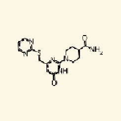 NC(=O)C1CCN(c2nc(CSc3ncccn3)cc(=O)[nH]2)CC1